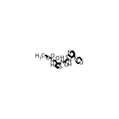 CCOC(=O)NC(=O)c1ccsc1NC(=O)C1Nc2c(N3CCOCC3)ccnc2S1